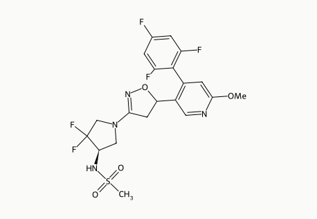 COc1cc(-c2c(F)cc(F)cc2F)c(C2CC(N3C[C@@H](NS(C)(=O)=O)C(F)(F)C3)=NO2)cn1